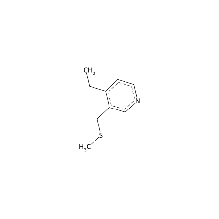 CCc1ccncc1CSC